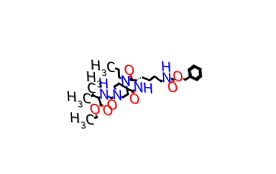 CCCN1C(=O)[C@H](CCCCNC(=O)OCc2ccccc2)NC(=O)C12CCN(C(=O)NC(C(=O)OCC)C(C)C)CC2